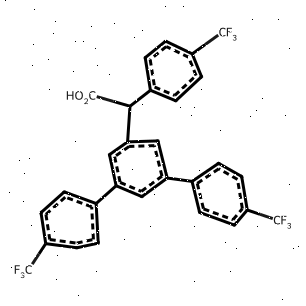 O=C(O)C(c1ccc(C(F)(F)F)cc1)c1cc(-c2ccc(C(F)(F)F)cc2)cc(-c2ccc(C(F)(F)F)cc2)c1